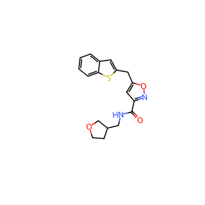 O=C(NCC1CCOC1)c1cc(Cc2cc3ccccc3s2)on1